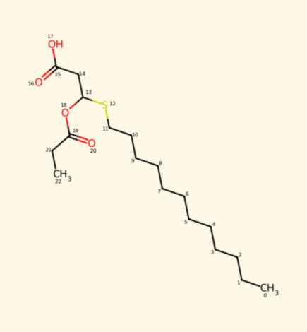 CCCCCCCCCCCCSC(CC(=O)O)OC(=O)CC